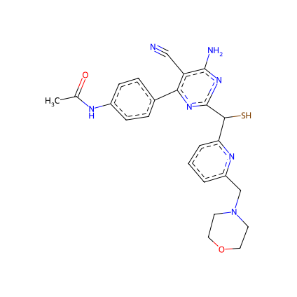 CC(=O)Nc1ccc(-c2nc(C(S)c3cccc(CN4CCOCC4)n3)nc(N)c2C#N)cc1